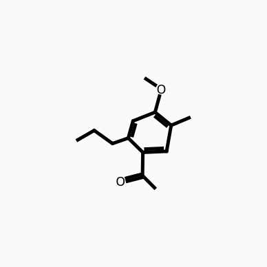 CCCc1cc(OC)c(C)cc1C(C)=O